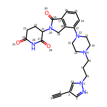 C#Cc1cnn(CCCN2CCN(c3cccc4c3CN(C3CCC(=O)NC3=O)C4=O)CC2)c1